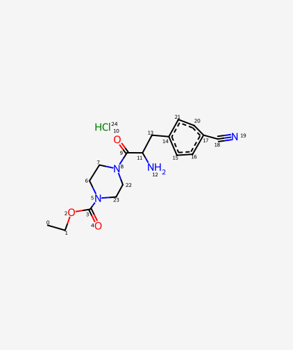 CCOC(=O)N1CCN(C(=O)C(N)Cc2ccc(C#N)cc2)CC1.Cl